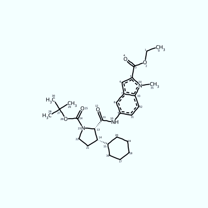 CCOC(=O)c1cc2cc(NC(=O)[C@@H]3[C@H](C4CCCCC4)CCN3C(=O)OC(C)(C)C)ccc2n1C